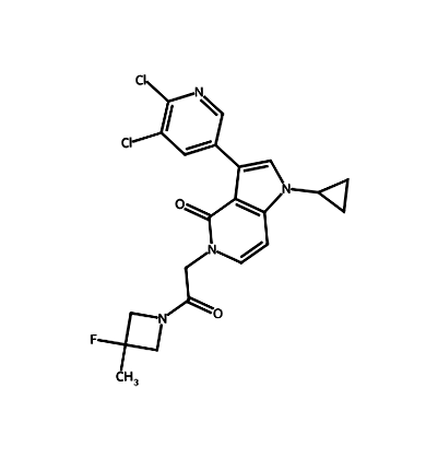 CC1(F)CN(C(=O)Cn2ccc3c(c(-c4cnc(Cl)c(Cl)c4)cn3C3CC3)c2=O)C1